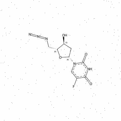 [N-]=[N+]=NC[C@H]1O[C@@H](n2cc(F)c(=O)[nH]c2=O)C[C@@H]1O